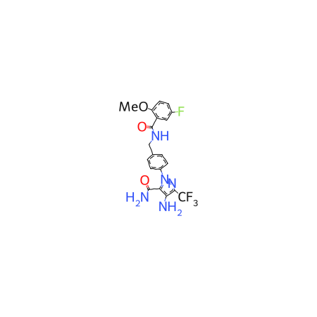 COc1ccc(F)cc1C(=O)NCc1ccc(-n2nc(C(F)(F)F)c(N)c2C(N)=O)cc1